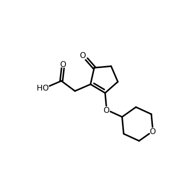 O=C(O)CC1=C(OC2CCOCC2)CCC1=O